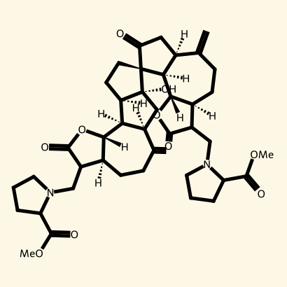 C=C1CC[C@H]2C(CN3CCCC3C(=O)OC)C(=O)O[C@@H]2[C@H]2[C@H]3CC[C@]4(C(=O)C[C@H]5C(=C)CC[C@H]6C(CN7CCCC7C(=O)OC)C(=O)O[C@@H]6[C@H]54)[C@@]3(O)C[C@@H]12